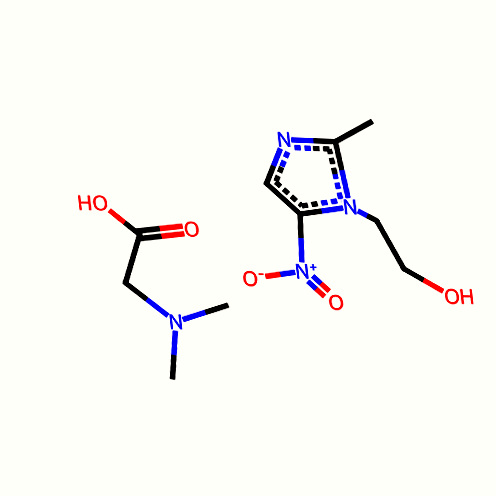 CN(C)CC(=O)O.Cc1ncc([N+](=O)[O-])n1CCO